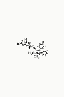 CC(C)n1nc(-c2ccccc2)c(-c2ccc(F)cc2)c1C#CCO[PH](=O)CC(O)CC(=O)O